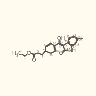 CCOC(=O)CCC1C=CC(/C(O)=C2\C(=O)Nc3cc(F)ccc32)=CC1